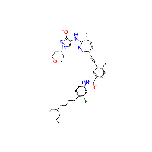 CCCC(CC)CCCCc1ccc(NC(=O)c2ccc(C)c(C#CC3=CN=C(Nc4cn(C5CCOCC5)nc4OC)[C@H](C)C=C3)c2)cc1F